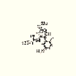 Cc1ccc(N)cc1C(O)[C@@H](CC(=O)OC(C)(C)C)NC(=O)OC(C)(C)C